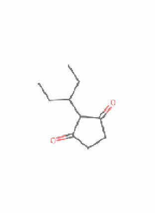 CCC(CC)C1C(=O)CCC1=O